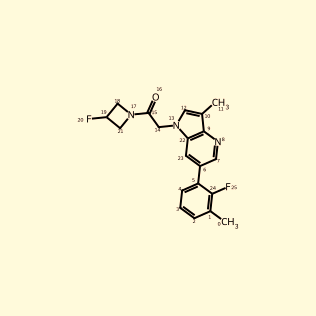 Cc1cccc(-c2cnc3c(C)cn(CC(=O)N4CC(F)C4)c3c2)c1F